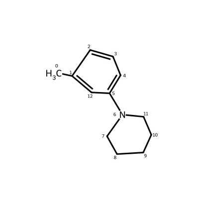 Cc1cccc(N2CCCCC2)c1